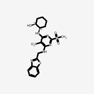 CS(=O)(=O)c1nc(NCc2nc3ccccc3s2)c([N+](=O)[O-])c(N[C@@H]2CCCC[C@@H]2O)n1